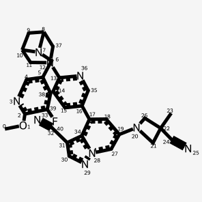 COc1ncc(CN2C3CC2CN(c2ccc(-c4cc(N5CC(C)(C#N)C5)cn5ncc(C#N)c45)cn2)C3)cc1F